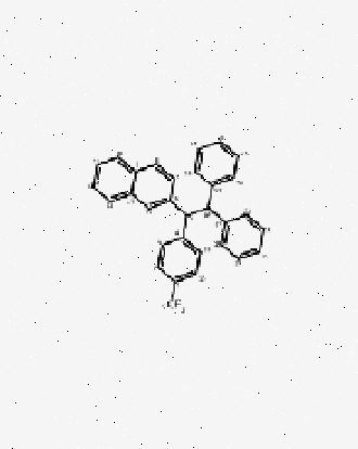 FC(F)(F)c1ccc([C](c2ccc3ccccc3c2)C(c2ccccc2)c2ccccc2)cc1